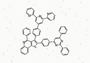 c1ccc(-c2cc(-c3ccc(-c4sc5c(c(-c6ccccc6)nc6ccccc65)c4-c4ccc(-c5cc(-c6ccccn6)nc(-c6ccccn6)c5)cc4)cc3)nc(-c3ccccc3)n2)cc1